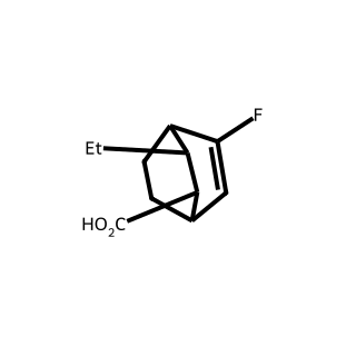 CCC1C2CCC(C=C2F)C1C(=O)O